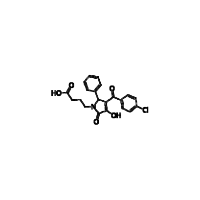 O=C(O)CCCN1C(=O)C(O)=C(C(=O)c2ccc(Cl)cc2)C1c1ccccc1